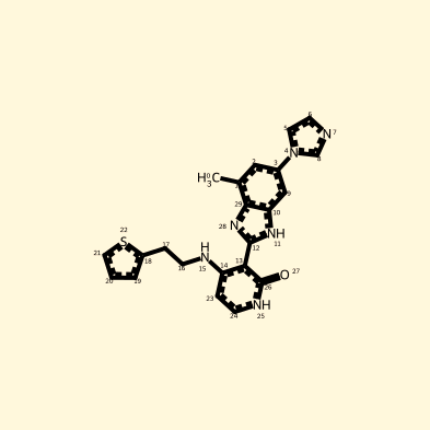 Cc1cc(-n2ccnc2)cc2[nH]c(-c3c(NCCc4cccs4)cc[nH]c3=O)nc12